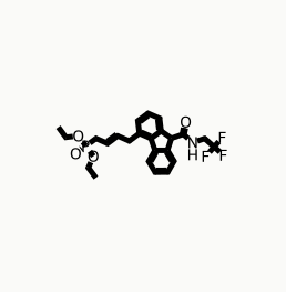 CCOP(=O)(CC=CCc1cccc2c1-c1ccccc1C2C(=O)NCC(F)(F)F)OCC